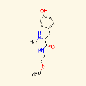 CC(C)(C)NC(Cc1ccc(O)cc1)C(=O)NCCOC(C)(C)C